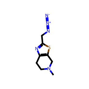 CN1CCc2nc(CN=[N+]=[N-])sc2C1